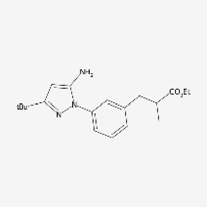 CCOC(=O)C(C)Cc1cccc(-n2nc(C(C)(C)C)cc2N)c1